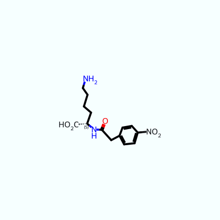 NCCCC[C@H](NC(=O)Cc1ccc([N+](=O)[O-])cc1)C(=O)O